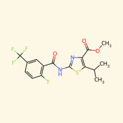 COC(=O)c1nc(NC(=O)c2cc(C(F)(F)F)ccc2F)sc1C(C)C